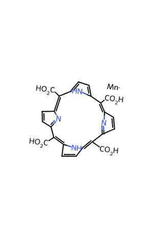 O=C(O)c1c2nc(c(C(=O)O)c3ccc([nH]3)c(C(=O)O)c3nc(c(C(=O)O)c4ccc1[nH]4)C=C3)C=C2.[Mn]